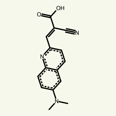 CN(C)c1ccc2nc(/C=C(\C#N)C(=O)O)ccc2c1